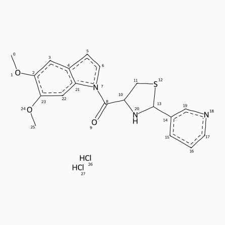 COc1cc2ccn(C(=O)C3CSC(c4cccnc4)N3)c2cc1OC.Cl.Cl